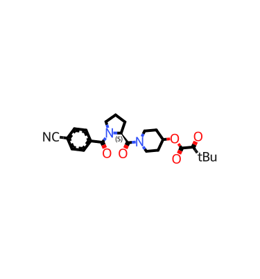 CC(C)(C)C(=O)C(=O)OC1CCN(C(=O)[C@@H]2CCCN2C(=O)c2ccc(C#N)cc2)CC1